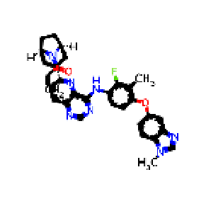 C=CC(=O)N1[C@@H]2CC[C@H]1C[C@H](c1ccc3ncnc(Nc4ccc(Oc5ccc6c(c5)ncn6C)c(C)c4F)c3n1)C2